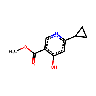 COC(=O)c1cnc(C2CC2)cc1O